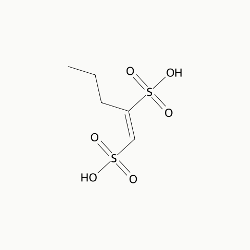 CCCC(=CS(=O)(=O)O)S(=O)(=O)O